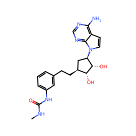 CNC(=O)Nc1cccc(CC[C@H]2C[C@@H](n3ccc4c(N)ncnc43)[C@H](O)[C@@H]2O)c1